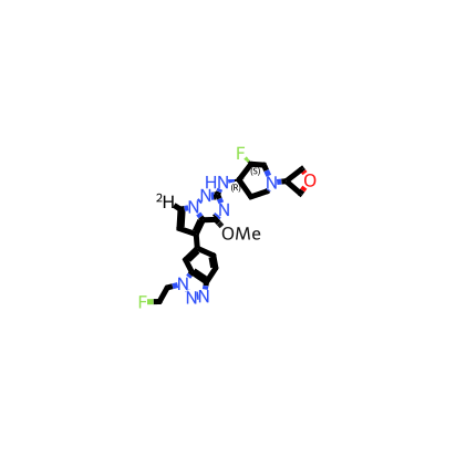 [2H]c1cc(-c2ccc3nnn(CCF)c3c2)c2c(OC)nc(N[C@@H]3CCN(C4COC4)C[C@@H]3F)nn12